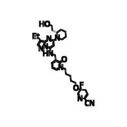 CCc1cnn2c(NCc3cccn(CCCCCOC4(F)C=NC(C#N)=CC4)c3=O)cc(N3CCCC[C@H]3CCO)nc12